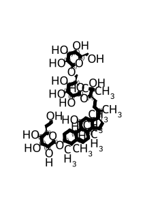 C[C@H](CC[C@@H](O[C@@H]1O[C@H](CO[C@@H]2O[C@H](CO)[C@@H](O)[C@H](O)[C@H]2O)[C@@H](O)[C@H](O)[C@H]1O)C(C)(C)O)[C@H]1CC[C@@]2(C)[C@@H]3CC=C4[C@@H](CC[C@H](O[C@@H]5O[C@H](CCO)[C@@H](O)[C@H](O)[C@H]5O)C4(C)C)[C@]3(C)[C@H](O)C[C@]12C